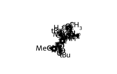 COc1ccc2c(c1)[C@]1(C[C@H]1c1ccc3c(Nc4nc(C5CC5)nc(N5C[C@@H](C)O[C@@H](C)C5)c4OC)nn(C(=O)OC(C)(C)C)c3c1)C(=O)N2C(=O)OC(C)(C)C